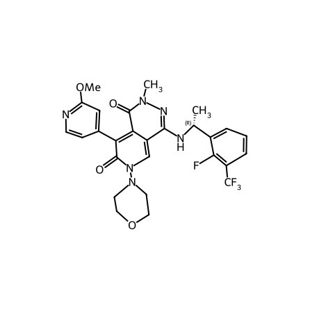 COc1cc(-c2c(=O)n(N3CCOCC3)cc3c(N[C@H](C)c4cccc(C(F)(F)F)c4F)nn(C)c(=O)c23)ccn1